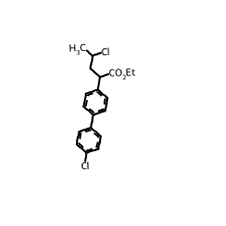 CCOC(=O)C(CC(C)Cl)c1ccc(-c2ccc(Cl)cc2)cc1